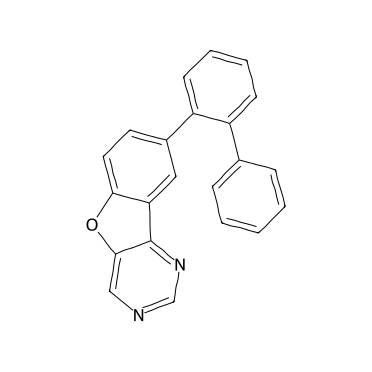 c1ccc(-c2ccccc2-c2ccc3oc4cncnc4c3c2)cc1